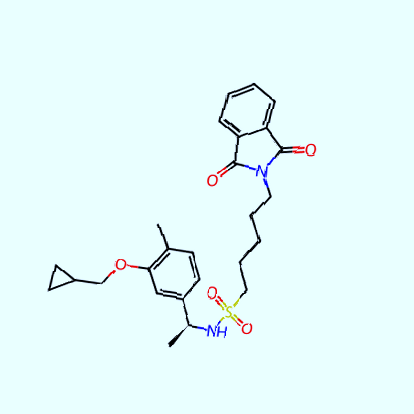 Cc1ccc([C@H](C)NS(=O)(=O)CCCCCN2C(=O)c3ccccc3C2=O)cc1OCC1CC1